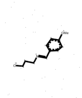 COc1ccc(C=NCCCCl)cc1